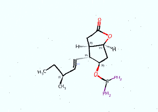 CC[C@H](C)/C=C/[C@@H]1[C@H]2CC(=O)O[C@H]2C[C@H]1OB(P)P